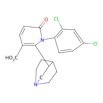 O=C(O)c1ccc(=O)n(-c2ccc(Cl)cc2Cl)c1C1CN2CCC1CC2